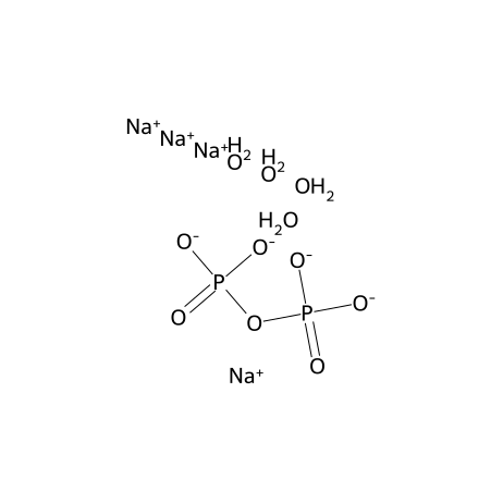 O.O.O.O.O=P([O-])([O-])OP(=O)([O-])[O-].[Na+].[Na+].[Na+].[Na+]